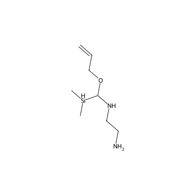 C=CCOC(NCCN)[SiH](C)C